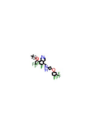 CC(C)(C)[Si](C)(C)OC(CC(F)(F)F)c1cc(F)c(CN[C@H]2C[C@H](Oc3ccc(F)c(C(F)(F)F)c3)C2)c2ccncc12